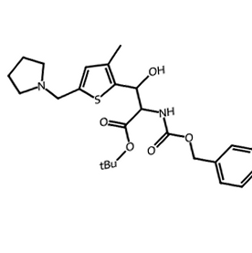 Cc1cc(CN2CCCC2)sc1C(O)C(NC(=O)OCc1ccccc1)C(=O)OC(C)(C)C